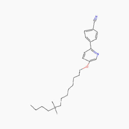 CCCC[Si](C)(C)CCCCCCCCOc1ccc(-c2ccc(C#N)cc2)nc1